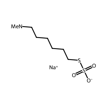 CNCCCCCCSS(=O)(=O)[O-].[Na+]